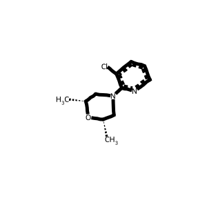 C[C@@H]1CN(c2ncccc2Cl)C[C@H](C)O1